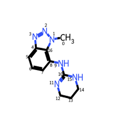 Cn1nnc2cccc(NC3=NCCCN3)c21